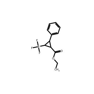 CCOC(=O)C1C(c2ccccc2)C1[B-](F)(F)F